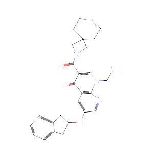 CCn1cc(C(=O)N2CC3(CCOCC3)C2)c(=O)c2cc(OC3Cc4ccccc4C3)cnc21